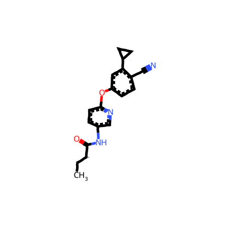 CC[CH]C(=O)Nc1ccc(Oc2ccc(C#N)c(C3CC3)c2)nc1